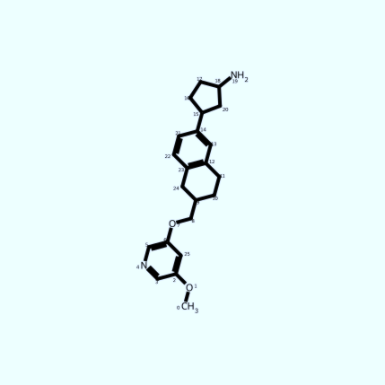 COc1cncc(OCC2CCc3cc(C4CCC(N)C4)ccc3C2)c1